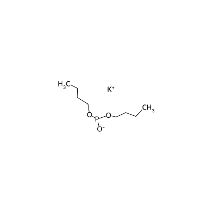 CCCCOP([O-])OCCCC.[K+]